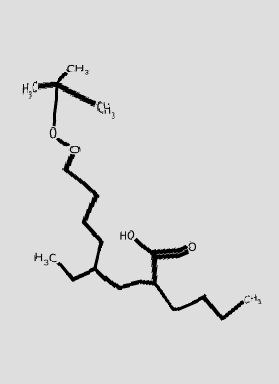 CCCCC(CC(CC)CCCCOOC(C)(C)C)C(=O)O